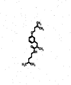 CC(C)CCCNC(=O)N(C)Cc1cccc(OCCN(C)C)c1